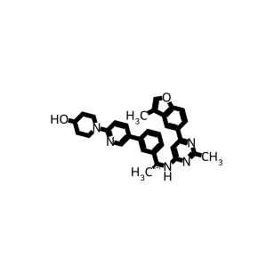 Cc1nc(N[C@@H](C)c2cccc(-c3ccc(N4CCC(O)CC4)nc3)c2)cc(-c2ccc3occ(C)c3c2)n1